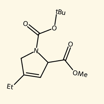 CCC1=CC(C(=O)OC)N(C(=O)OC(C)(C)C)C1